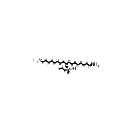 CCCS(=O)(=O)O.NCCCCCCCCCCCCCCCCCN